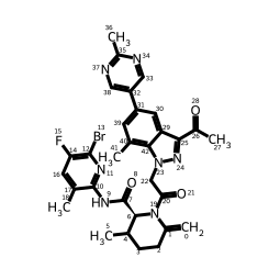 C=C1CCC(C)[C@@H](C(=O)Nc2nc(Br)c(F)cc2C)N1C(=O)Cn1nc(C(C)=O)c2cc(-c3cnc(C)nc3)cc(C)c21